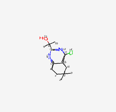 CC1(C)CCc2nc(C(C)(C)O)nc(Cl)c2C1